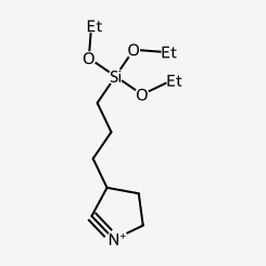 CCO[Si](CCCC1C#[N+]CC1)(OCC)OCC